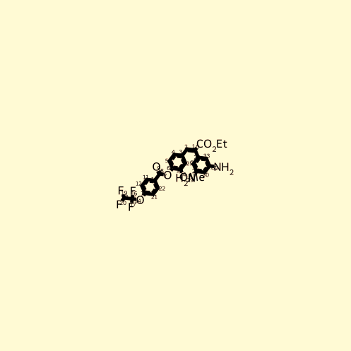 CCOC(=O)C(=Cc1ccc(OC(=O)c2ccc(OC(F)(F)C(F)F)cc2)c(OC)c1)c1cc(N)cc(N)c1